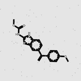 C=C(c1ccc(OC)cc1)c1ccc2[nH]c(NC(=O)OC)nc2c1